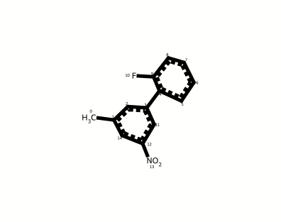 Cc1cc(-c2ccccc2F)cc([N+](=O)[O-])c1